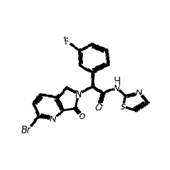 O=C(Nc1nccs1)C(c1cccc(F)c1)N1Cc2ccc(Br)nc2C1=O